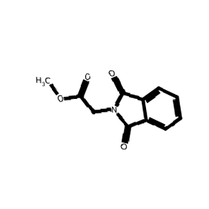 COC(=O)CN1C(=O)c2ccccc2C1=O